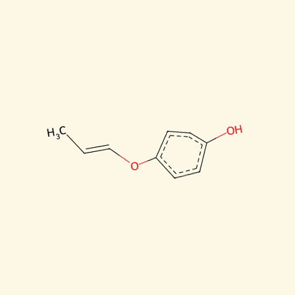 CC=COc1ccc(O)cc1